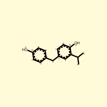 CC(C)c1cc(Cc2ccc(O)cc2)ccc1O